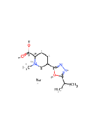 CC(C)c1nnc(C2CCC(C(=O)[O-])N(C)C2)o1.[Na+]